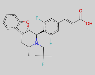 C[C@@H]1Cc2c(oc3ccccc23)[C@@H](c2c(F)cc(/C=C/C(=O)O)cc2F)N1CC(C)(C)F